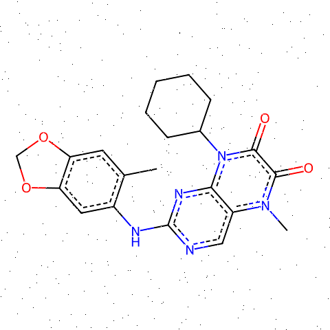 Cc1cc2c(cc1Nc1ncc3c(n1)n(C1CCCCC1)c(=O)c(=O)n3C)OCO2